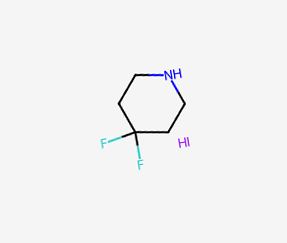 FC1(F)CCNCC1.I